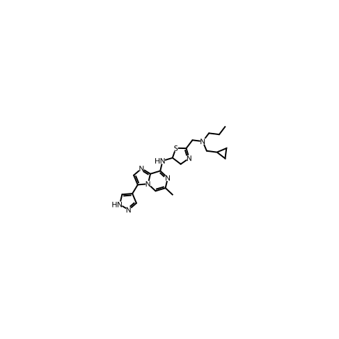 CCCN(CC1=NCC(Nc2nc(C)cn3c(-c4cn[nH]c4)cnc23)S1)CC1CC1